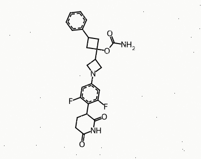 NC(=O)OC1(C2CN(c3cc(F)c(C4CCC(=O)NC4=O)c(F)c3)C2)CC(c2ccccc2)C1